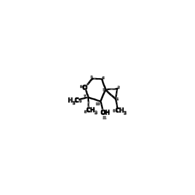 CC1CC12CCOC(C)(C)C2O